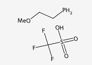 COCCP.O=S(=O)(O)C(F)(F)F